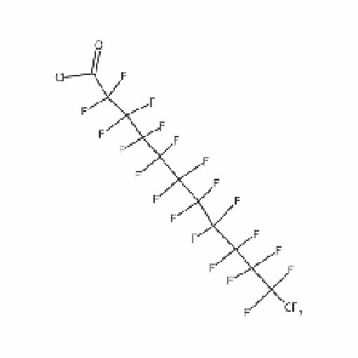 O=C(Cl)C(F)(F)C(F)(F)C(F)(F)C(F)(F)C(F)(F)C(F)(F)C(F)(F)C(F)(F)C(F)(F)C(F)(F)C(F)(F)F